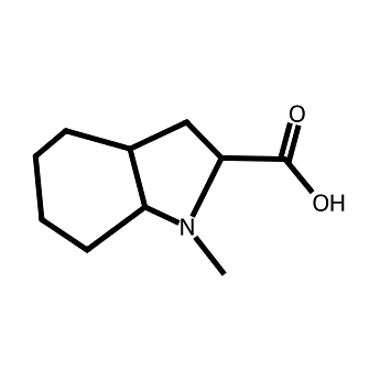 CN1C(C(=O)O)CC2CCCCC21